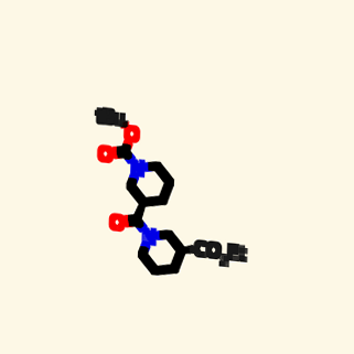 CCOC(=O)[C@H]1CCCN(C(=O)[C@@H]2CCCN(C(=O)OC(C)(C)C)C2)C1